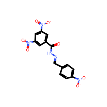 O=C(N/N=C/c1ccc([N+](=O)[O-])cc1)c1cc([N+](=O)[O-])cc([N+](=O)[O-])c1